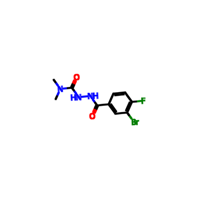 CN(C)C(=O)NNC(=O)c1ccc(F)c(Br)c1